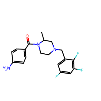 CC1CN(Cc2cc(F)cc(F)c2F)CCN1C(=O)c1ccc(N)cc1